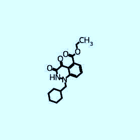 CCOC(=O)c1cccc2c1c(=O)c(=O)[nH]n2CC1CCCCC1